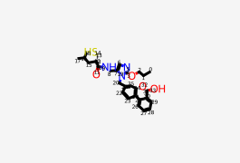 CCCOc1ncc(CNC(=O)[C@@H](CS)CC(C)C)n1Cc1ccc(-c2ccccc2C(=O)O)cc1